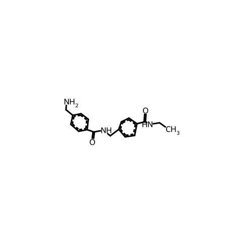 CCNC(=O)c1ccc(CNC(=O)c2ccc(CN)cc2)cc1